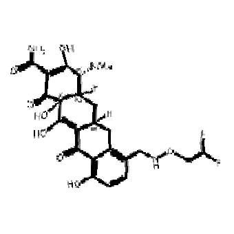 CN[C@H]1C(O)=C(C(N)=O)C(=O)[C@@]2(O)C(O)=C3C(=O)c4c(O)ccc(CNOCC(F)F)c4C[C@H]3C[C@@H]12